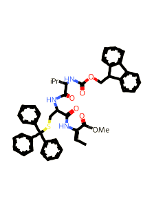 CC=C(NC(=O)C(CSC(c1ccccc1)(c1ccccc1)c1ccccc1)NC(=O)C(NC(=O)OCC1c2ccccc2-c2ccccc21)C(C)C)C(=O)OC